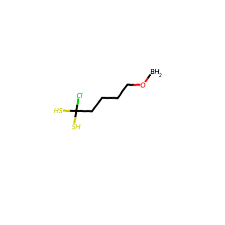 BOCCCCC(S)(S)Cl